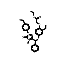 CCOC(=O)COc1ccc(SC(c2ccccc2)c2nn(-c3ccc(CF)cc3)c(=O)n2C)cc1CC